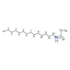 CCCCCCCCCCCCCCNC(C)CC